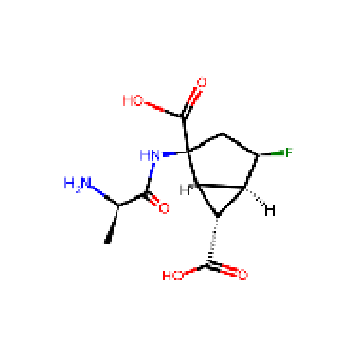 C[C@@H](N)C(=O)N[C@@]1(C(=O)O)C[C@@H](F)[C@H]2[C@H](C(=O)O)[C@H]21